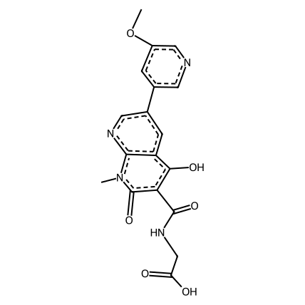 COc1cncc(-c2cnc3c(c2)c(O)c(C(=O)NCC(=O)O)c(=O)n3C)c1